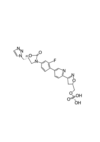 O=C1O[C@@H](Cn2ccnn2)CN1c1ccc(-c2ccc(C3=NOC(COP(=O)(O)O)C3)nc2)c(F)c1